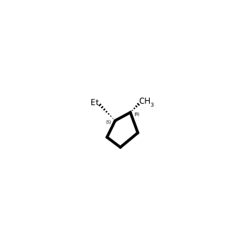 CC[C@H]1CCC[C@H]1C